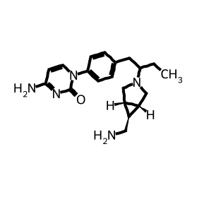 CCC(Cc1ccc(-n2ccc(N)nc2=O)cc1)N1C[C@@H]2[C@@H](CN)[C@@H]2C1